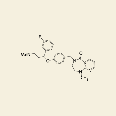 CNCCC(Oc1ccc(CN2CCN(C)c3ncccc3C2=O)cc1)c1cccc(F)c1